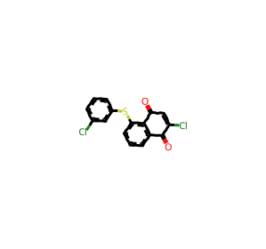 O=C1C(Cl)=CC(=O)c2c(Sc3cccc(Cl)c3)cccc21